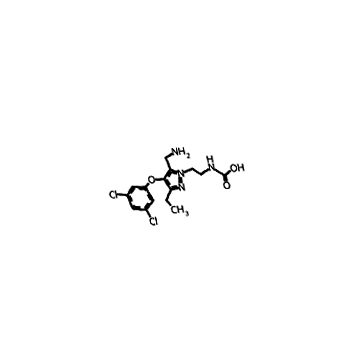 CCc1nn(CCNC(=O)O)c(CN)c1Oc1cc(Cl)cc(Cl)c1